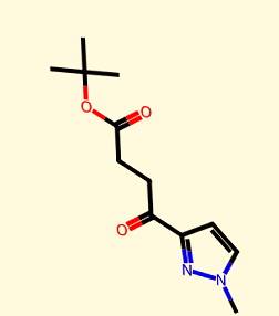 Cn1ccc(C(=O)CCC(=O)OC(C)(C)C)n1